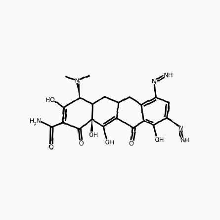 CN(C)[C@@H]1C(O)=C(C(N)=O)C(=O)[C@@]2(O)C(O)=C3C(=O)c4c(O)c(N=N)cc(N=N)c4CC3CC12